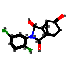 O=C1CC2CCC1C1C(=O)N(c3cc(Br)ccc3Br)C(=O)C21